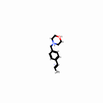 CC(C)/C=C/c1ccc(CN2CCOCC2)cc1